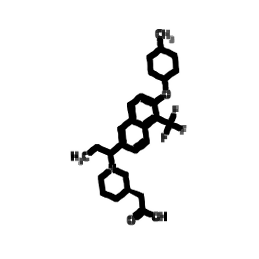 CCC(c1ccc2c(C(F)(F)F)c(OC3CCC(C)CC3)ccc2c1)N1CCC[C@H](CC(=O)O)C1